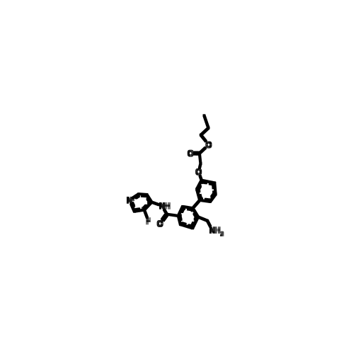 CCCOC(=O)COc1cccc(-c2cc(C(=O)Nc3ccncc3F)ccc2CN)c1